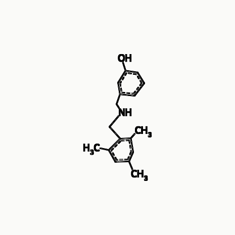 Cc1cc(C)c(CNCc2cccc(O)c2)c(C)c1